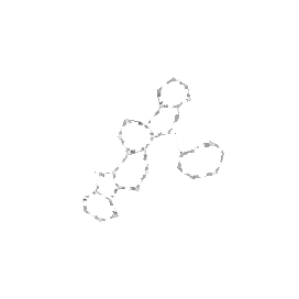 c1ccc(-n2c3ccccc3c3ccc4c(ccc5c6ccccc6[nH]c54)c32)cc1